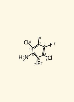 Cc1c(F)c(Cl)c(C(C)C)c(N)c1Cl